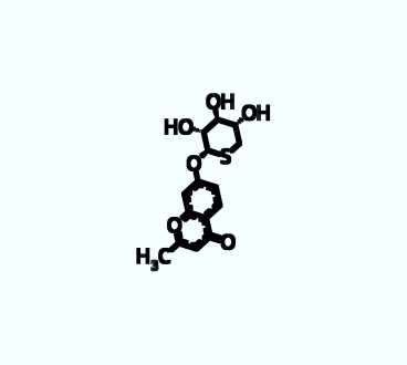 Cc1cc(=O)c2ccc(O[C@@H]3SC[C@@H](O)[C@H](O)[C@H]3O)cc2o1